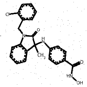 CC1(Nc2ccc(C(=O)NO)cc2)C(=O)N(Cc2ccccc2Cl)c2ccccc21